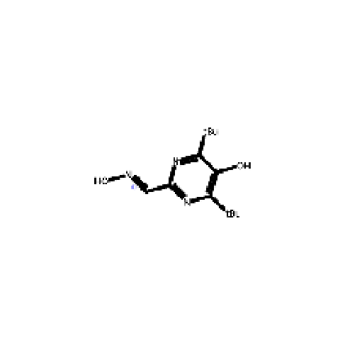 CC(C)(C)c1nc(/C=N/O)nc(C(C)(C)C)c1O